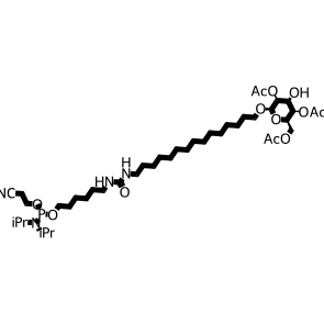 CC(=O)OC[C@H]1O[C@@H](OCCCCCCCCCCCCCCCNC(=O)NCCCCCCOP(OCCC#N)N(C(C)C)C(C)C)[C@H](OC(C)=O)[C@@H](O)[C@@H]1OC(C)=O